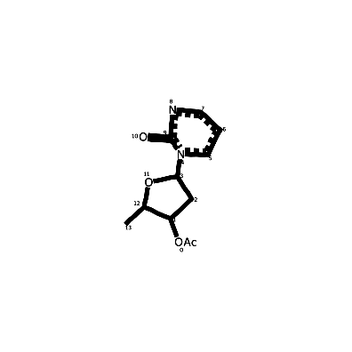 CC(=O)OC1CC(n2cccnc2=O)OC1C